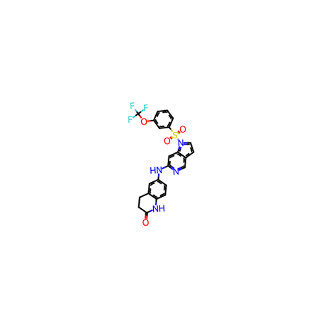 O=C1CCc2cc(Nc3cc4c(ccn4S(=O)(=O)c4cccc(OC(F)(F)F)c4)cn3)ccc2N1